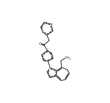 CCC1=c2c(ccn2-c2ccc(C(=O)Cc3cnccn3)cc2)=CC=CC1